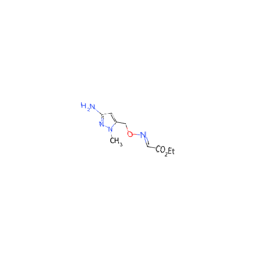 CCOC(=O)C=NOCc1cc(N)nn1C